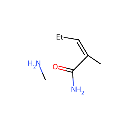 CCC=C(C)C(N)=O.CN